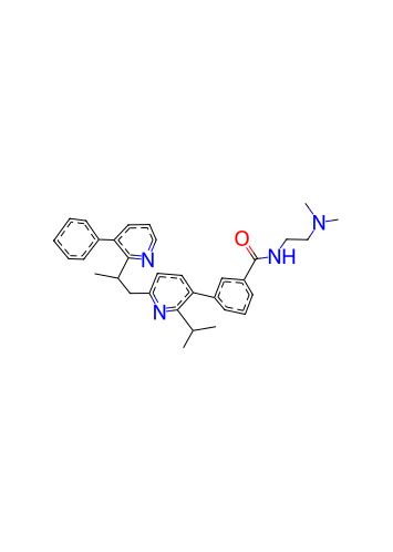 CC(C)c1nc(CC(C)c2ncccc2-c2ccccc2)ccc1-c1cccc(C(=O)NCCN(C)C)c1